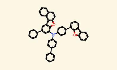 c1ccc(-c2ccc(N(c3ccc(-c4cccc5c4oc4ccccc45)cc3)c3cc(-c4ccccc4)cc4c3oc3ccc5ccccc5c34)cc2)cc1